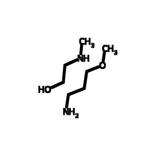 CNCCO.COCCCN